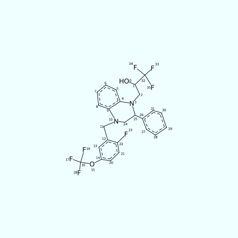 OC(CN1c2ccccc2N(Cc2cc(OC(F)(F)F)ccc2F)CC1c1ccccc1)C(F)(F)F